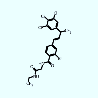 O=C(CNC(=O)c1ccc(C=CC(c2cc(Cl)c(Cl)c(Cl)c2)C(F)(F)F)cc1Br)NCC(F)(F)F